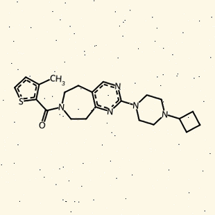 Cc1ccsc1C(=O)N1CCc2cnc(N3CCN(C4CCC4)CC3)nc2CC1